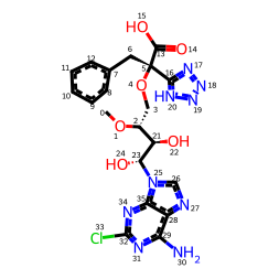 CO[C@H](CO[C@](Cc1ccccc1)(C(=O)O)c1nnn[nH]1)[C@@H](O)[C@@H](O)n1cnc2c(N)nc(Cl)nc21